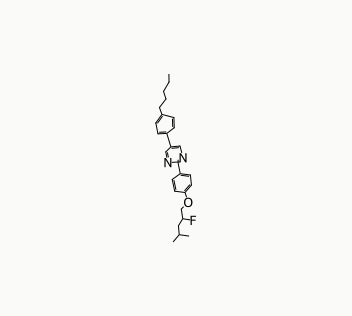 CCCCCc1ccc(-c2cnc(-c3ccc(OCC(F)CC(C)C)cc3)nc2)cc1